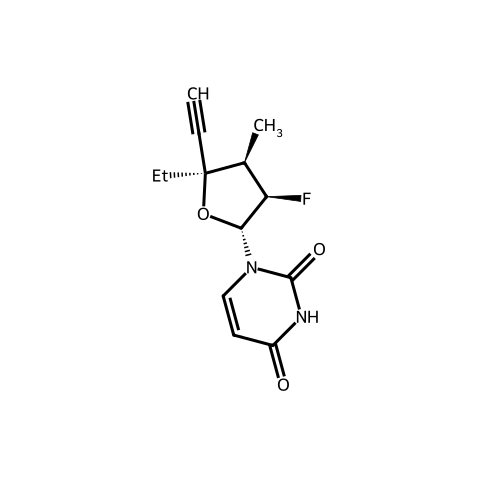 C#C[C@]1(CC)O[C@@H](n2ccc(=O)[nH]c2=O)[C@H](F)[C@@H]1C